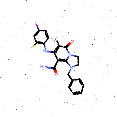 Cc1c(Nc2ccc(I)cc2F)c(C(N)=O)c2n(c1=O)CCN2Cc1ccccc1